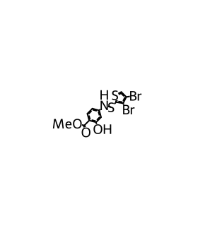 COC(=O)c1ccc(NSc2scc(Br)c2Br)cc1O